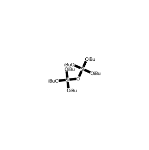 CC(C)CO[Si](OCC(C)C)(OCC(C)C)O[Si](OCC(C)C)(OCC(C)C)OCC(C)C